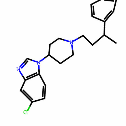 CC(CCN1CCC(n2cnc3cc(Cl)ccc32)CC1)c1ccccc1